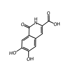 O=C(O)c1cc2cc(O)c(O)cc2c(=O)[nH]1